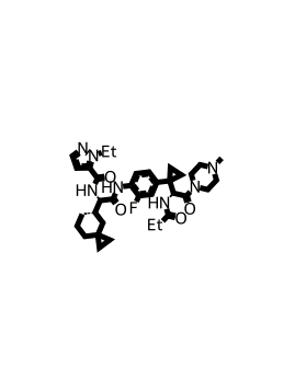 CCC(=O)N[C@@H](C(=O)N1CCN(C)CC1)C1(c2ccc(NC(=O)[C@@H](NC(=O)c3ccnn3CC)[C@H]3CCCC4(CC4)C3)c(F)c2)CC1